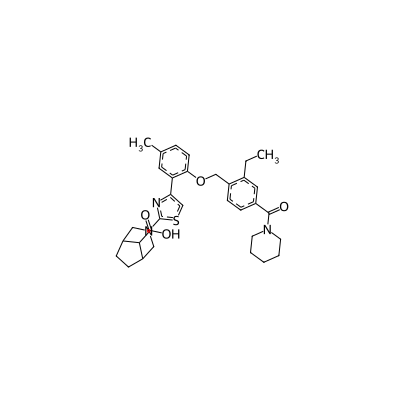 CCc1cc(C(=O)N2CCCCC2)ccc1COc1ccc(C)cc1-c1csc(N2CC3CCC(C2)C3C(=O)O)n1